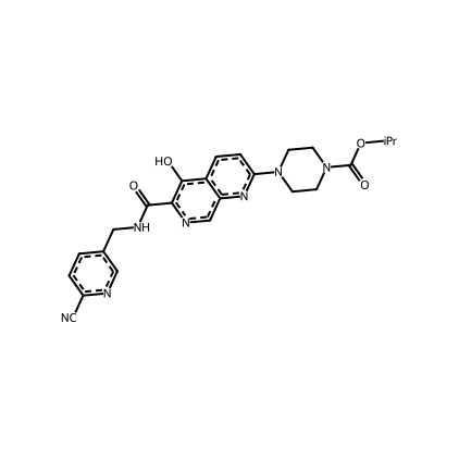 CC(C)OC(=O)N1CCN(c2ccc3c(O)c(C(=O)NCc4ccc(C#N)nc4)ncc3n2)CC1